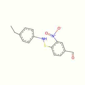 CCc1ccc(NSc2ccc(C=O)cc2[N+](=O)[O-])cc1